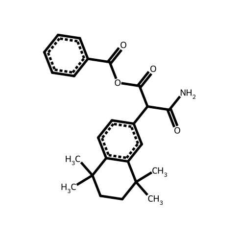 CC1(C)CCC(C)(C)c2cc(C(C(N)=O)C(=O)OC(=O)c3ccccc3)ccc21